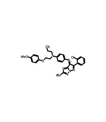 COc1ccc(OCCN(CCC#N)c2ccc(/N=C3/C(c4ccccc4Cl)=Nn4nc(C(C)(C)C)nc43)cc2)cc1